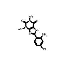 CCCn1c(=O)c2[nH]c(-c3ccc([N+](=O)[O-])cc3N)nc2n(CCC)c1=O